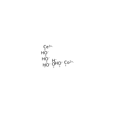 [Ce+3].[Co+2].[OH-].[OH-].[OH-].[OH-].[OH-]